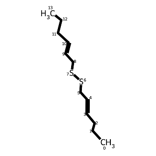 CCCC=CCSSCC=CCCC